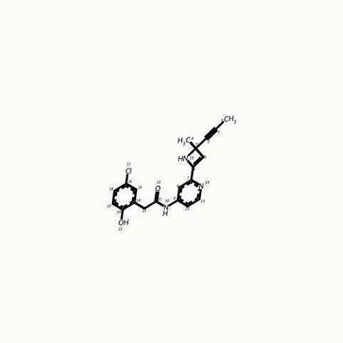 CC#CC1(C)C=C(c2cc(NC(=O)Cc3cc(Cl)ccc3O)ccn2)N1